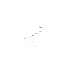 Fc1cccc(-c2nc(/C=C/c3cc(C(F)(F)F)cc(C(F)(F)F)c3)oc2-c2cccc(F)c2)c1